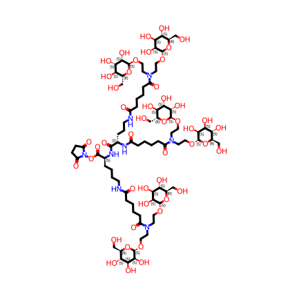 O=C(CCCCC(=O)N(CCO[C@H]1O[C@H](CO)[C@@H](O)[C@H](O)[C@@H]1O)CCO[C@H]1O[C@H](CO)[C@@H](O)[C@H](O)[C@@H]1O)NCCCC[C@H](NC(=O)[C@H](CCCNC(=O)CCCCC(=O)N(CCO[C@H]1O[C@H](CO)[C@@H](O)[C@H](O)[C@@H]1O)CCO[C@H]1O[C@H](CO)[C@@H](O)[C@H](O)[C@@H]1O)NC(=O)CCCCC(=O)N(CCO[C@H]1O[C@H](CO)[C@@H](O)[C@H](O)[C@@H]1O)CCO[C@H]1O[C@H](CO)[C@@H](O)[C@H](O)[C@@H]1O)C(=O)ON1C(=O)CCC1=O